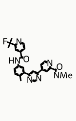 CNC(=O)c1cc(-c2cc(-c3cc(NC(=O)c4ccnc(C(C)(C)F)c4)ccc3C)ncn2)ccn1